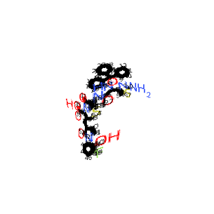 Nc1nc(C(=NOC(c2ccccc2)(c2ccccc2)c2ccccc2)C(=O)N[C@@H]2C(=O)N3C(C(=O)O)=C(C=C4CCN(c5cccc(F)c5O)C4=O)CS[C@H]23)cs1